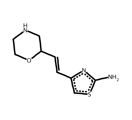 Nc1nc(C=CC2CNCCO2)cs1